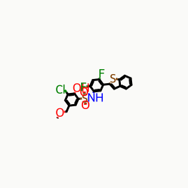 COCc1cc(Cl)c(O)c(S(=O)(=O)Nc2cc(-c3cc4ccccc4s3)c(F)cc2F)c1